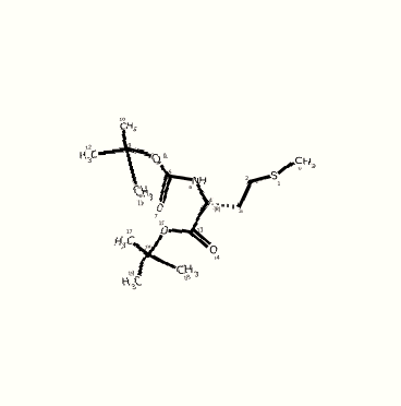 CSCC[C@@H](NC(=O)OC(C)(C)C)C(=O)OC(C)(C)C